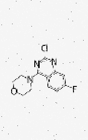 Fc1ccc2c(N3CCOCC3)nc(Cl)nc2c1